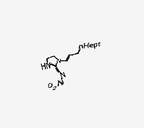 CCCCCCCCC=CN1CCNC1=N[N+](=O)[O-]